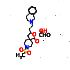 CS(=O)(=O)N1CCC2(CC1)CC(CCN1CCc3ccccc3C1)OC2=O.O=CO